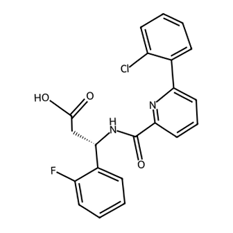 O=C(O)C[C@H](NC(=O)c1cccc(-c2ccccc2Cl)n1)c1ccccc1F